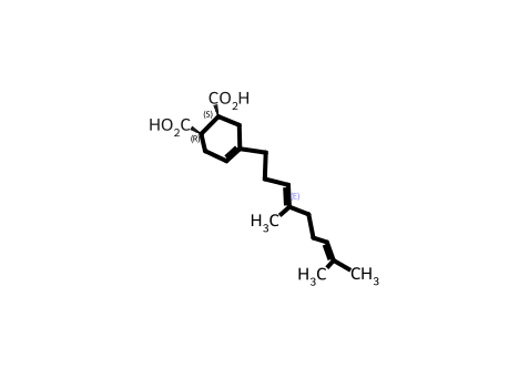 CC(C)=CCC/C(C)=C/CCC1=CC[C@@H](C(=O)O)[C@@H](C(=O)O)C1